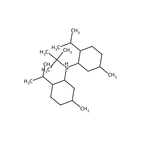 CC1CCC(C(C)C)C([SiH](C2CC(C)CCC2C(C)C)C(C)(C)C)C1